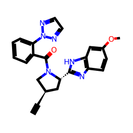 C#C[C@@H]1C[C@@H](c2nc3ccc(OC)cc3[nH]2)N(C(=O)c2ccccc2-n2nccn2)C1